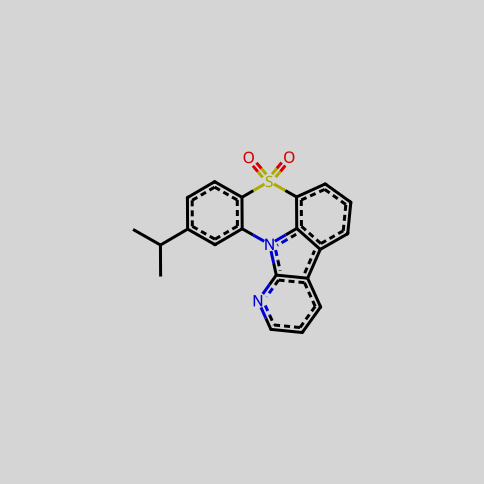 CC(C)c1ccc2c(c1)-n1c3ncccc3c3cccc(c31)S2(=O)=O